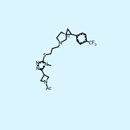 CC(=O)N1CC(c2nnc(SCCCN3CC[C@]4(CC4c4ccc(C(F)(F)F)cc4)C3)n2C)C1